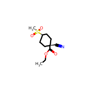 CCOC(=O)[C@]1(C#N)CC[C@@H](S(C)(=O)=O)CC1